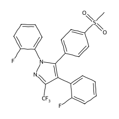 CS(=O)(=O)c1ccc(-c2c(-c3ccccc3F)c(C(F)(F)F)nn2-c2ccccc2F)cc1